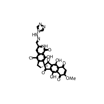 COC1=CC(=O)c2c(O)c3c(c(O)c2C1=O)C(=O)[C@]1(CCc2c1c(O)c1c(=O)[nH]c(C=NNn4cnnc4)cc1c2Cl)C3=O